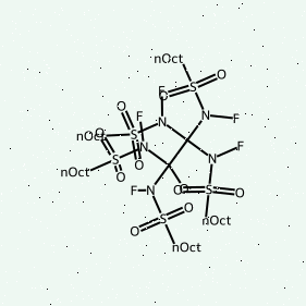 CCCCCCCCS(=O)(=O)N(F)C([O])(N(F)S(=O)(=O)CCCCCCCC)C(N(F)S(=O)(=O)CCCCCCCC)(N(F)S(=O)(=O)CCCCCCCC)N(F)S(=O)(=O)CCCCCCCC